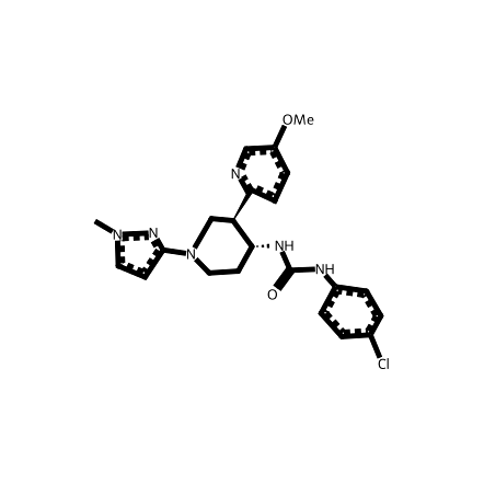 COc1ccc([C@@H]2CN(c3ccn(C)n3)CC[C@H]2NC(=O)Nc2ccc(Cl)cc2)nc1